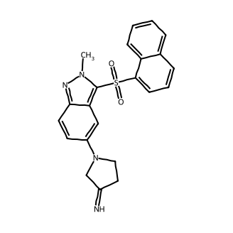 Cn1nc2ccc(N3CCC(=N)C3)cc2c1S(=O)(=O)c1cccc2ccccc12